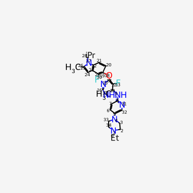 CCN1CCN(c2ccc(NC(C)/C(F)=C(\N=C/N)Oc3ccc4c(cc(C)n4C(C)C)c3F)nc2)CC1